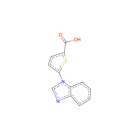 O=C(O)c1ccc(-n2cnc3ccccc32)s1